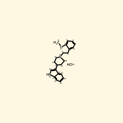 COc1ccccc1CCN1CCC(c2c[nH]c3ccccc23)CC1.Cl